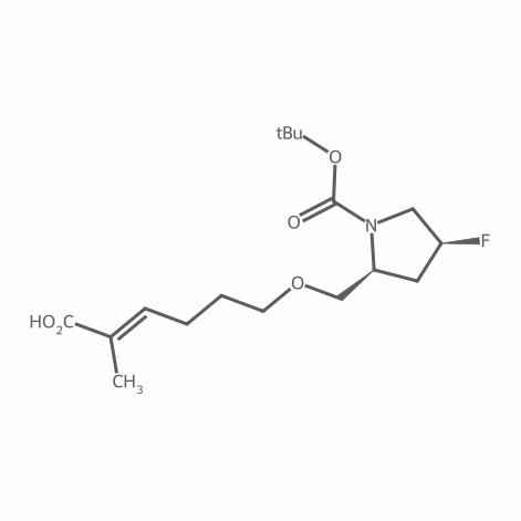 CC(=CCCCOC[C@@H]1C[C@H](F)CN1C(=O)OC(C)(C)C)C(=O)O